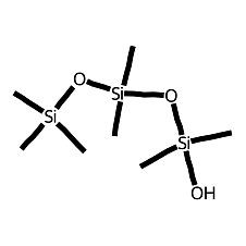 C[Si](C)(C)O[Si](C)(C)O[Si](C)(C)O